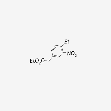 CCOC(=O)Cc1ccc(CC)c([N+](=O)[O-])c1